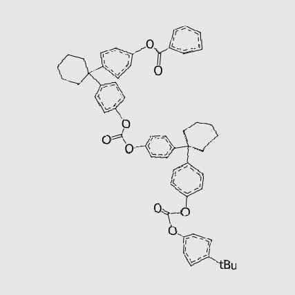 CC(C)(C)c1ccc(OC(=O)Oc2ccc(C3(c4ccc(OC(=O)Oc5ccc(C6(c7ccc(OC(=O)c8ccccc8)cc7)CCCCC6)cc5)cc4)CCCCC3)cc2)cc1